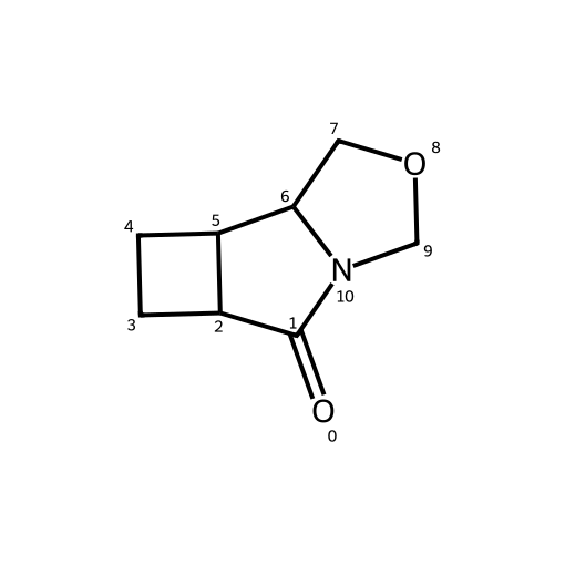 O=C1C2CCC2C2COCN12